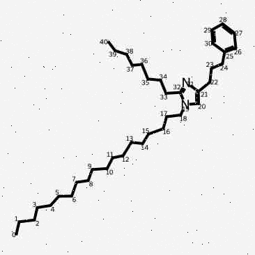 CCCCCCCCCCCCCCCCCCCn1cc(CCCc2ccccc2)nc1CCCCCCCC